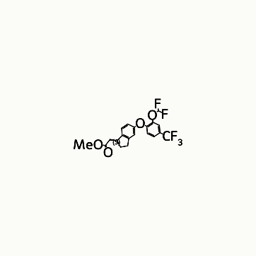 COC(=O)C[C@@H]1CCc2cc(Oc3ccc(C(F)(F)F)cc3OC(F)F)ccc21